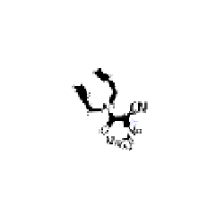 C#CCN(CC#C)C(=O)/C(C#N)=N\OC